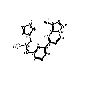 C[C@@H](Cn1cnnn1)Oc1cccc(-c2ccn3ncc(Br)c3n2)n1